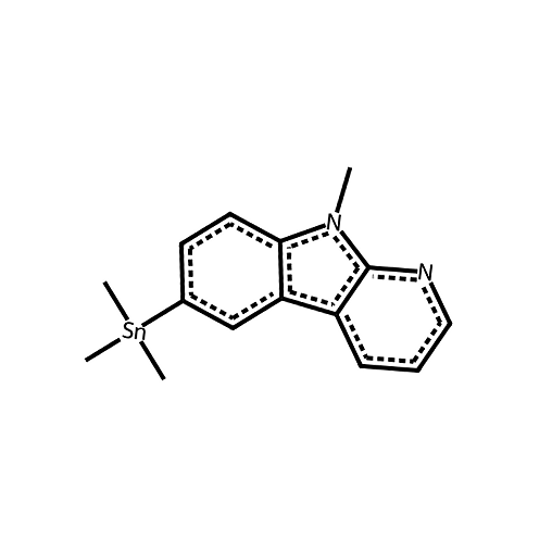 Cn1c2cc[c]([Sn]([CH3])([CH3])[CH3])cc2c2cccnc21